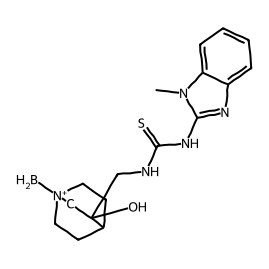 B[N+]12CCC(CC1)C(O)(CNC(=S)Nc1nc3ccccc3n1C)C2